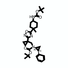 CC(C)(C)OC(=O)NC1CCC(C)(c2nc(C3(CN(C(=O)OC(C)(C)C)[C@@H]4C[C@H]4c4ccccc4)CC3)no2)CC1